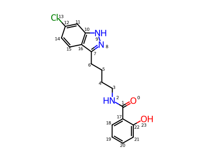 O=C(NCCCCc1n[nH]c2cc(Cl)ccc12)c1ccccc1O